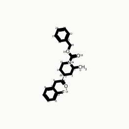 CC1C[C@H](C(=O)Cc2ccccc2F)CCN1C(=O)OCc1ccccc1